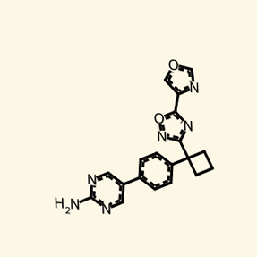 Nc1ncc(-c2ccc(C3(c4noc(-c5cocn5)n4)CCC3)cc2)cn1